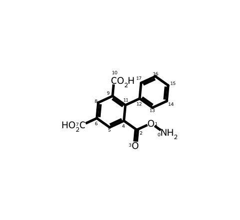 NOC(=O)c1cc(C(=O)O)cc(C(=O)O)c1-c1ccccc1